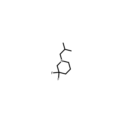 C[C](C)CN1CCCC(F)(F)C1